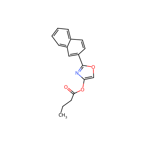 CCCC(=O)Oc1coc(-c2ccc3ccccc3c2)n1